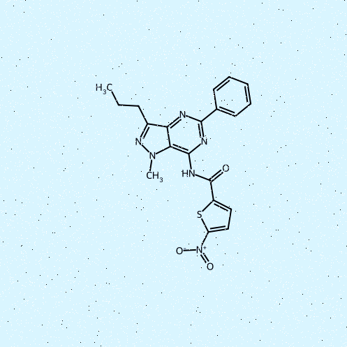 CCCc1nn(C)c2c(NC(=O)c3ccc([N+](=O)[O-])s3)nc(-c3ccccc3)nc12